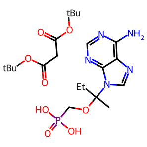 CC(C)(C)OC(=O)CC(=O)OC(C)(C)C.CCC(C)(OCP(=O)(O)O)n1cnc2c(N)ncnc21